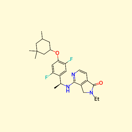 CCN1Cc2c(ccnc2N[C@@H](C)c2cc(F)c(OC3CC(C)CC(C)(C)C3)cc2F)C1=O